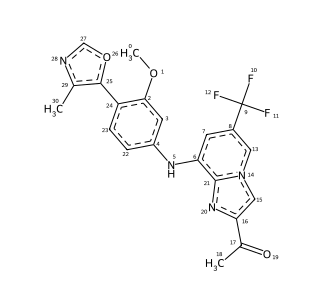 COc1cc(Nc2cc(C(F)(F)F)cn3cc(C(C)=O)nc23)ccc1-c1ocnc1C